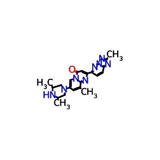 Cc1nc2ccc(-c3cc(=O)n4cc(N5CC(C)NC(C)C5)cc(C)c4n3)nn2n1